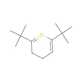 CC(C)(C)C1=CCCC(C(C)(C)C)=[S+]1